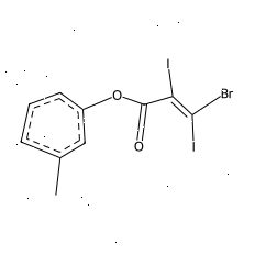 Cc1cccc(OC(=O)C(I)=C(Br)I)c1